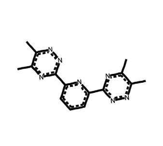 Cc1nnc(-c2cccc(-c3nnc(C)c(C)n3)n2)nc1C